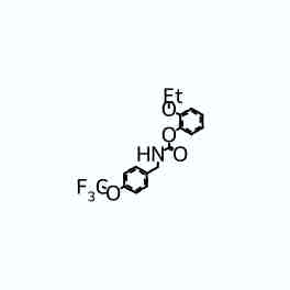 CCOc1ccccc1OC(=O)NCc1ccc(OC(F)(F)F)cc1